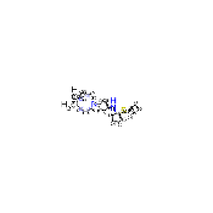 C=C1/C=C\C=C/N(c2ccc(Nc3ccccc3SC3=C4C=CC4C3)cc2)C/C=C\C=C\1C